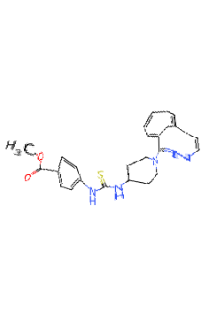 COC(=O)c1ccc(NC(=S)NC2CCN(c3nccc4ccccc34)CC2)cc1